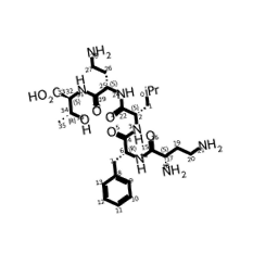 CC(C)C[C@H](NC(=O)[C@@H](Cc1ccccc1)NC(=O)[C@@H](N)CCN)C(=O)N[C@@H](CCN)C(=O)N[C@H](C(=O)O)[C@@H](C)O